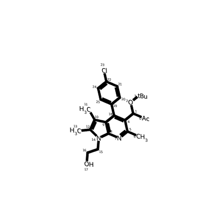 CC(=O)C(OC(C)(C)C)c1c(C)nc2c(c(C)c(C)n2CCO)c1-c1ccc(Cl)cc1